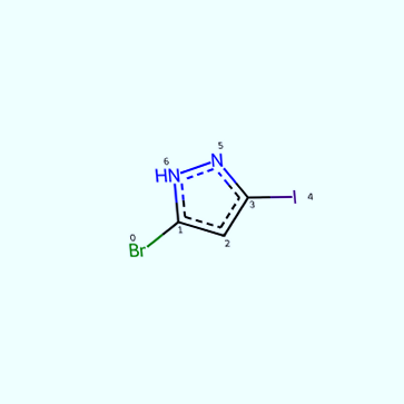 Brc1cc(I)n[nH]1